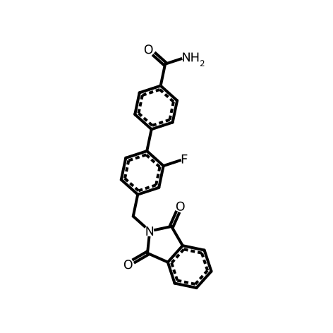 NC(=O)c1ccc(-c2ccc(CN3C(=O)c4ccccc4C3=O)cc2F)cc1